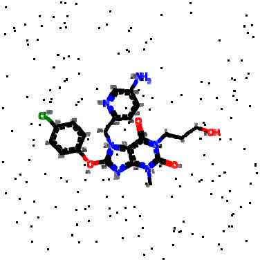 Cn1c(=O)n(CCCO)c(=O)c2c1nc(Oc1ccc(Cl)cc1)n2Cc1ccc(N)cn1